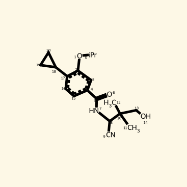 CC(C)Oc1cc(C(=O)NC(C#N)C(C)(C)CO)ccc1C1CC1